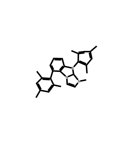 Cc1cc(C)c(B2c3cccc(-c4c(C)cc(C)cc4C)c3N3C=CN(C)C23)c(C)c1